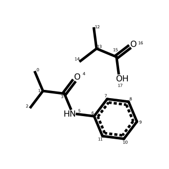 CC(C)C(=O)Nc1ccccc1.CC(C)C(=O)O